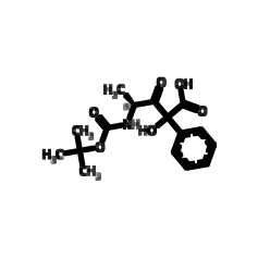 C[C@H](NC(=O)OC(C)(C)C)C(=O)C(O)(C(=O)O)c1ccccc1